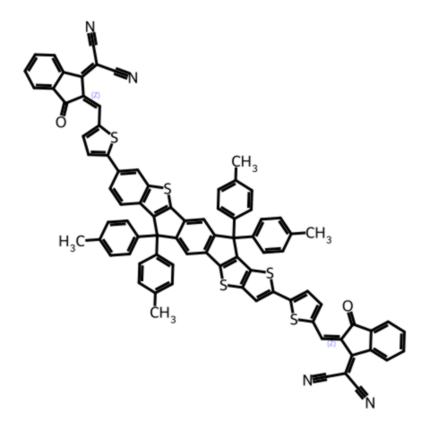 Cc1ccc(C2(c3ccc(C)cc3)c3cc4c(cc3-c3sc5cc(-c6ccc(/C=C7\C(=O)c8ccccc8C7=C(C#N)C#N)s6)ccc5c32)C(c2ccc(C)cc2)(c2ccc(C)cc2)c2c-4sc3cc(-c4ccc(/C=C5\C(=O)c6ccccc6C5=C(C#N)C#N)s4)sc23)cc1